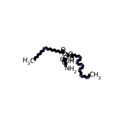 CC/C=C\C/C=C\C/C=C\C/C=C\C/C=C\C/C=C\CCC(=O)O[C@H](COC(=O)CCCCCCC/C=C\CCCCCCCC)COP(=O)(O)OCCN